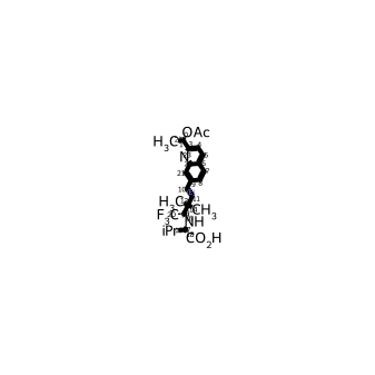 CC(=O)O[C@H](C)c1ccc2ccc(/C=C/C(C)(C)[C@H](NC(C(=O)O)C(C)C)C(F)(F)F)cc2n1